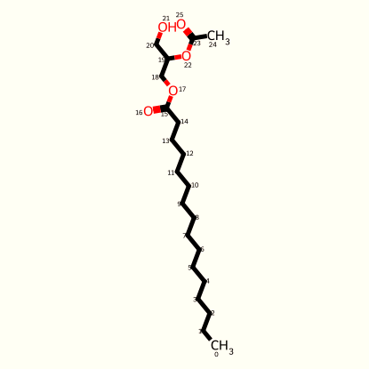 CCCCCCCCCCCCCCCC(=O)OCC(CO)OC(C)=O